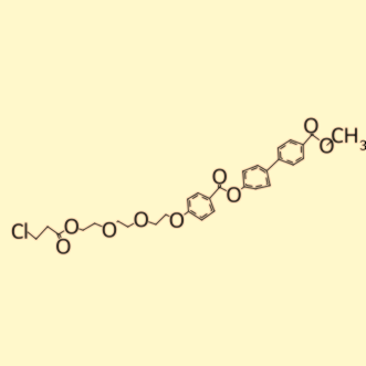 COC(=O)c1ccc(-c2ccc(OC(=O)c3ccc(OCCOCCOCCOC(=O)CCCl)cc3)cc2)cc1